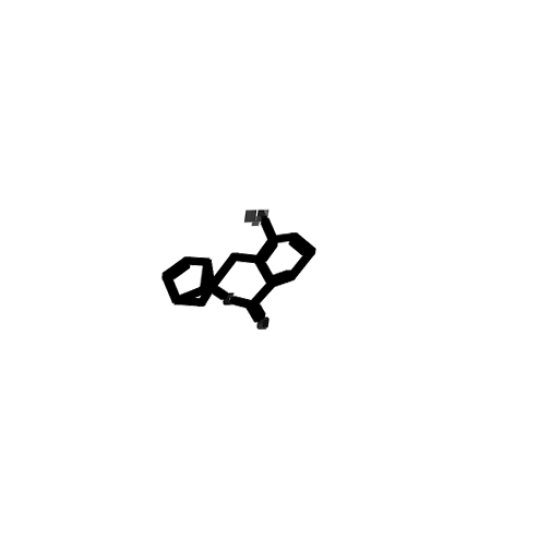 Nc1cccc2c1CC1(CC2=O)CC2C=CC1C2